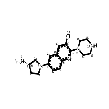 N[C@H]1CCN(c2ccc3nc(N4CCNCC4)c(Cl)cc3c2)C1